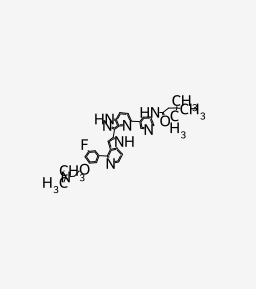 CN(C)CCOc1cc(F)cc(-c2nccc3[nH]c(-c4n[nH]c5ccc(-c6cncc(NC(=O)CC(C)(C)C)c6)nc45)cc23)c1